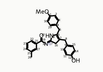 COc1ccc(CC2=C(Cc3ccc(O)cc3)C/C(=N/C(=O)c3cccc(C)c3)N2)cc1